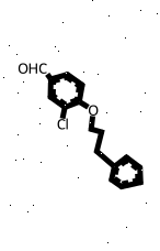 O=Cc1ccc(OCCCc2ccccc2)c(Cl)c1